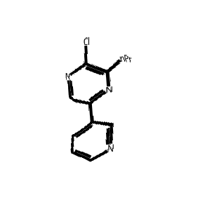 CCCc1nc(-c2cccnc2)cnc1Cl